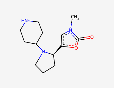 Cn1cc([C@H]2CCCN2C2CCNCC2)oc1=O